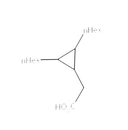 CCCCCCC1C(CCCCCC)C1CC(=O)O